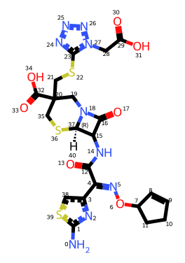 Nc1nc(C(=NOC2C=CCC2)C(=O)NC2C(=O)N3CC(CSc4nnnn4CC(=O)O)(C(=O)O)CS[C@H]23)cs1